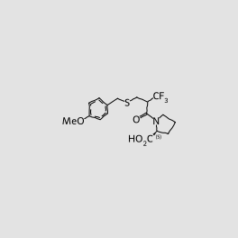 COc1ccc(CSCC(C(=O)N2CCC[C@H]2C(=O)O)C(F)(F)F)cc1